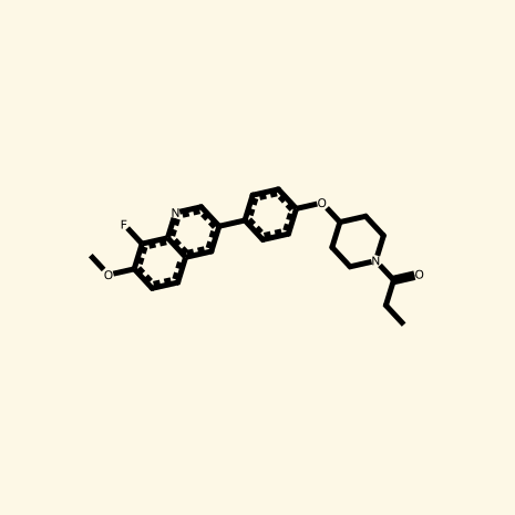 CCC(=O)N1CCC(Oc2ccc(-c3cnc4c(F)c(OC)ccc4c3)cc2)CC1